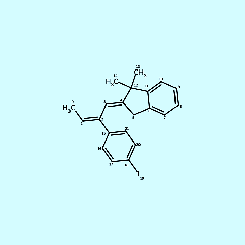 C/C=C(\C=C1/Cc2ccccc2C1(C)C)c1ccc(I)cc1